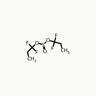 CCC(F)(F)OS(=O)OC(F)(F)CC